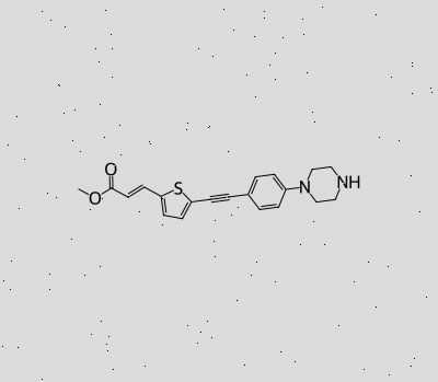 COC(=O)/C=C/c1ccc(C#Cc2ccc(N3CCNCC3)cc2)s1